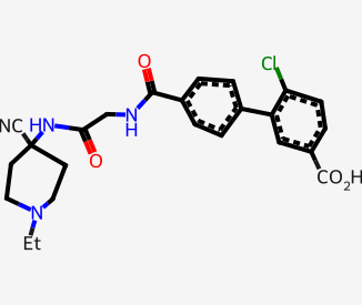 CCN1CCC(C#N)(NC(=O)CNC(=O)c2ccc(-c3cc(C(=O)O)ccc3Cl)cc2)CC1